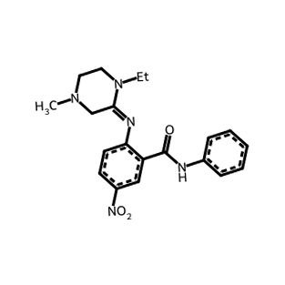 CCN1CCN(C)C/C1=N\c1ccc([N+](=O)[O-])cc1C(=O)Nc1ccccc1